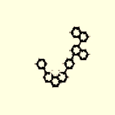 c1ccc(-c2ccc3ccc4ccc(-c5ccc(-c6ccc(-c7cccc8ccccc78)c7ccccc67)cc5)nc4c3n2)cc1